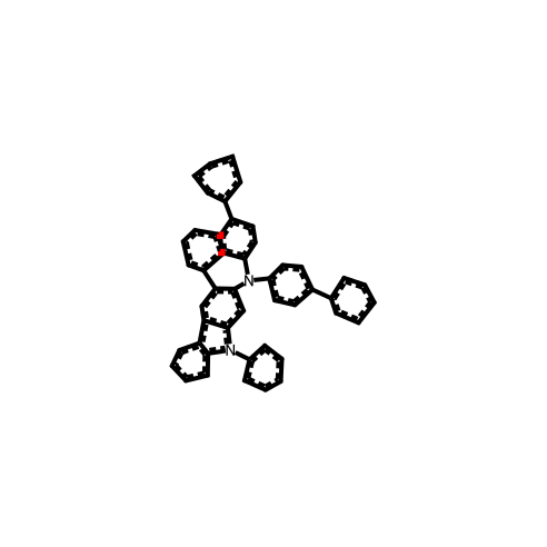 c1ccc(-c2ccc(N(c3ccc(-c4ccccc4)cc3)c3cc4c(cc3-c3ccccc3)c3ccccc3n4-c3ccccc3)cc2)cc1